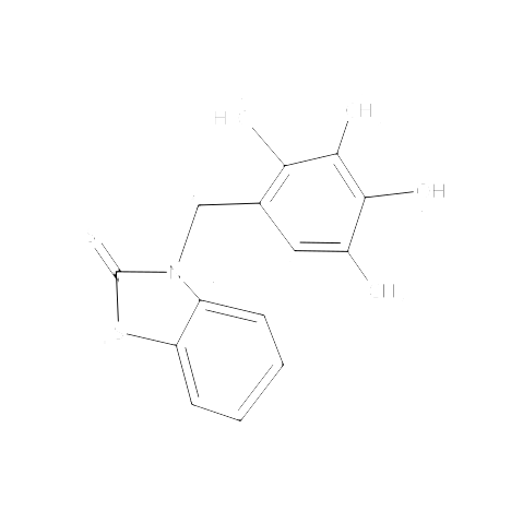 Cc1cc(Cn2c(=S)sc3ccccc32)c(C)c(C)c1O